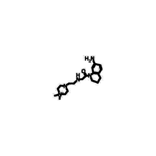 C[N+]1(C)CCN(CCNCC(=O)N2CCCc3ccc(N)cc32)CC1